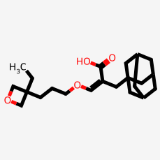 CCC1(CCCOC=C(CC23CC4CC(CC(C4)C2)C3)C(=O)O)COC1